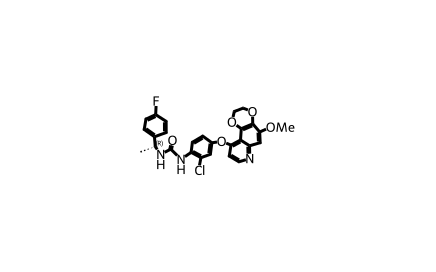 COc1cc2nccc(Oc3ccc(NC(=O)N[C@H](C)c4ccc(F)cc4)c(Cl)c3)c2c2c1OCCO2